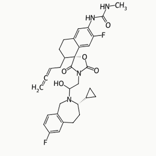 C=C=CCC1CCc2cc(NC(=O)NC)c(F)cc2[C@]12OC(=O)N(CC(O)N1Cc3ccc(F)cc3CC[C@H]1C1CC1)C2=O